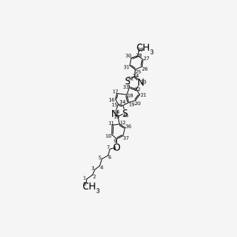 CCCCCCCCOc1ccc(-c2nc3ccc4c(ccc5nc(-c6ccc(C)cc6)sc54)c3s2)cc1